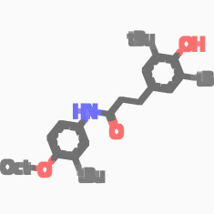 CCCCCCCCOc1ccc(NC(=O)CCc2cc(C(C)(C)C)c(O)c(C(C)(C)C)c2)cc1C(C)(C)C